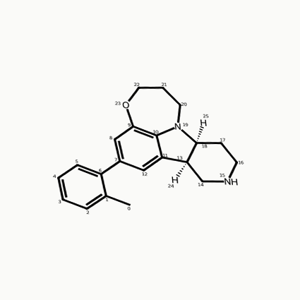 Cc1ccccc1-c1cc2c3c(c1)[C@@H]1CNCC[C@@H]1N3CCCO2